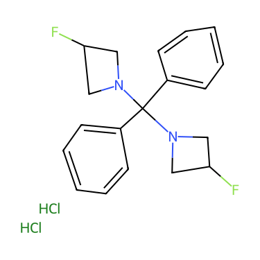 Cl.Cl.FC1CN(C(c2ccccc2)(c2ccccc2)N2CC(F)C2)C1